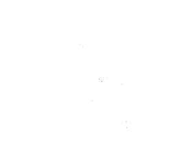 O=C(O)NS(=O)(=O)N1CC(O)C1